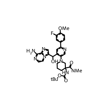 CNC(=O)C1(NC(=O)OC(C)(C)C)CCCN(c2cnc(-c3ccc(OC)c(F)c3)cc2C(O)c2cnc3c(N)nccn23)C1